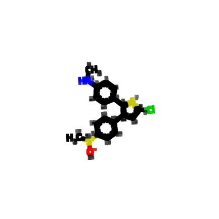 CNc1ccc(-c2sc(Cl)cc2-c2ccc([S+](C)[O-])cc2)cc1